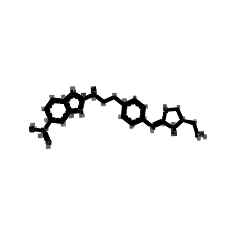 CC[C@@H]1CS/C(=N\c2ccc(CCNc3nc4ccc([N+](=O)[O-])cc4s3)cc2)N1